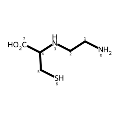 NCCNC(CS)C(=O)O